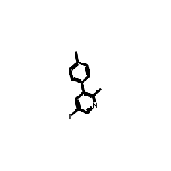 Cc1ccc(-c2cc(I)cnc2C)cc1